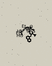 CCC(CO)NCCNC(CC)COC(=O)C1CSc2c(C3CC3)c(Cc3cccc4ccccc34)cc(=O)n21